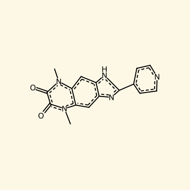 Cn1c(=O)c(=O)n(C)c2cc3[nH]c(-c4ccncc4)nc3cc21